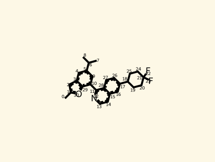 Cc1cc2cc(C(C)C)cc(-c3nccc4cc(C5CCC(F)(F)CC5)ccc34)c2o1